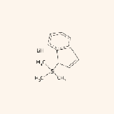 C[Si](C)(C)C1C=Cc2ccccc21.[LiH]